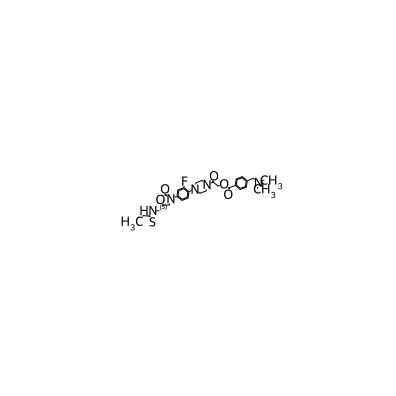 CCC(=S)NC[C@H]1CN(c2ccc(N3CCN(C(=O)COC(=O)c4ccc(CN(C)C)cc4)CC3)c(F)c2)C(=O)O1